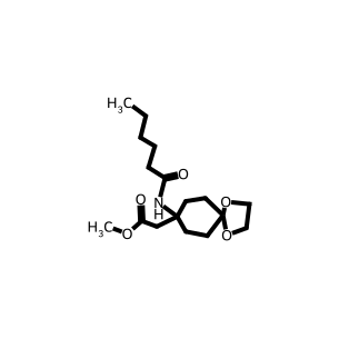 CCCCCC(=O)NC1(CC(=O)OC)CCC2(CC1)OCCO2